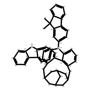 CC1(C)c2ccccc2-c2ccc(N(c3ccc4c(c3)sc3ccccc34)c3cccc4c3-c3ccccc3CC3CC5CC(C4)CC(C3)C5)cc21